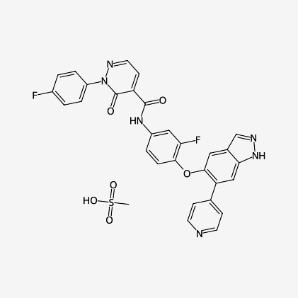 CS(=O)(=O)O.O=C(Nc1ccc(Oc2cc3cn[nH]c3cc2-c2ccncc2)c(F)c1)c1ccnn(-c2ccc(F)cc2)c1=O